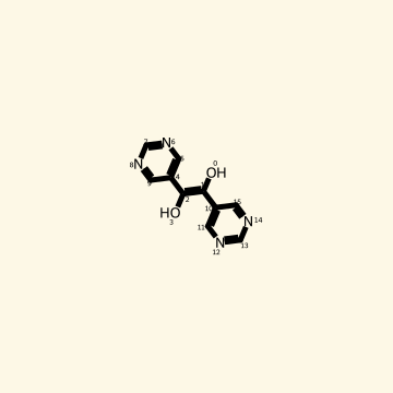 O/C(=C(/O)c1cncnc1)c1cncnc1